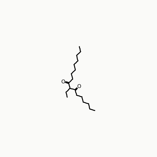 CCCCCCCCC(=O)C(CC)C(=O)CCCCCC